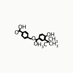 CC(C)(C)c1cc(C(=O)OCc2ccc(C(=O)O)cc2)ccc1O